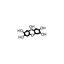 Oc1cc2c(cc1O)N(O)c1cc(O)c(O)cc1O2